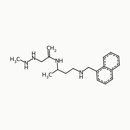 C=C(CNNC)NC(C)CCNCc1cccc2ccccc12